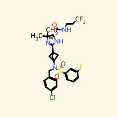 CC1(C)N=C(C23CC(N(Cc4ccc(Cl)cc4)S(=O)(=O)c4cccc(F)c4)(C2)C3)N[C@H]1C(=O)NCCC(F)(F)F